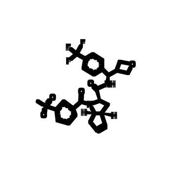 CS(=O)(=O)c1cccc(C(=O)N2[C@@H](C(=O)N[C@@H](c3ccc(C(F)(F)F)cc3)C3COC3)C[C@H]3C#CC[C@H]32)c1